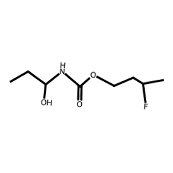 CCC(O)NC(=O)OCCC(C)F